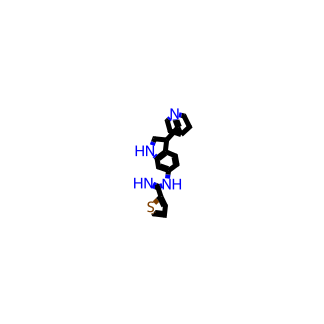 N=C(Nc1ccc2c(c1)NCC2C1=CN2CCC1CC2)c1cccs1